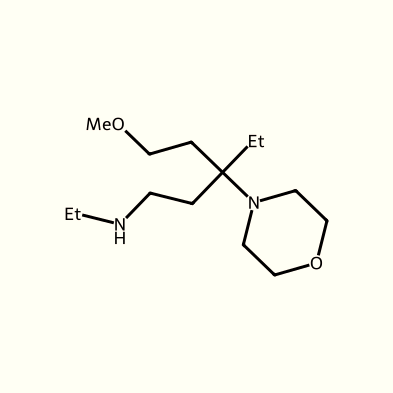 CCNCCC(CC)(CCOC)N1CCOCC1